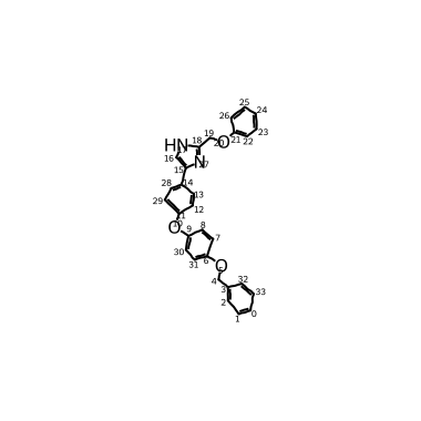 c1ccc(COc2ccc(Oc3ccc(-c4c[nH]c(COc5ccccc5)n4)cc3)cc2)cc1